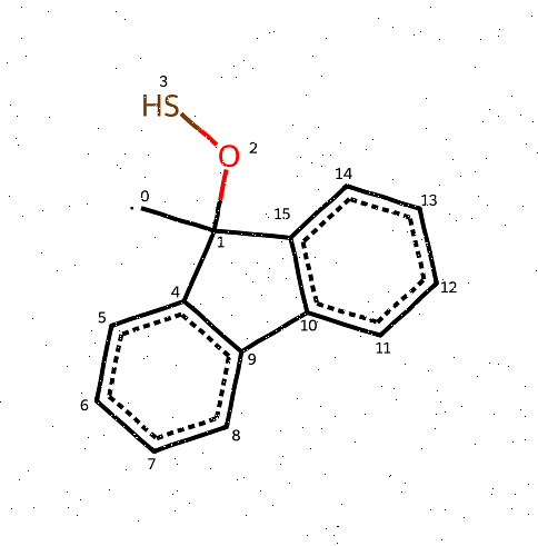 [CH2]C1(OS)c2ccccc2-c2ccccc21